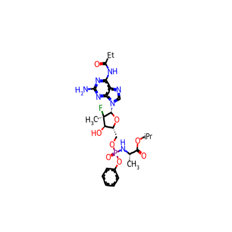 CCC(=O)Nc1nc(N)nc2c1ncn2[C@@H]1O[C@H](COP(=O)(N[C@@H](C)C(=O)OC(C)C)Oc2ccccc2)[C@@H](O)[C@@]1(C)F